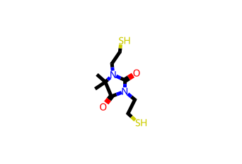 CC1(C)C(=O)N(CCS)C(=O)N1CCS